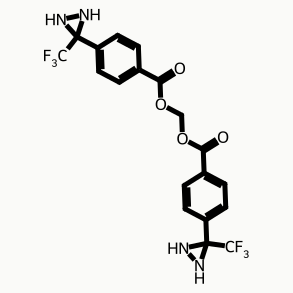 O=C(OCOC(=O)c1ccc(C2(C(F)(F)F)NN2)cc1)c1ccc(C2(C(F)(F)F)NN2)cc1